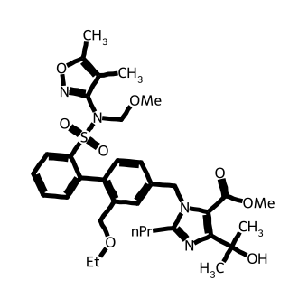 CCCc1nc(C(C)(C)O)c(C(=O)OC)n1Cc1ccc(-c2ccccc2S(=O)(=O)N(COC)c2noc(C)c2C)c(COCC)c1